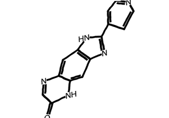 O=c1cnc2cc3[nH]c(-c4ccncc4)nc3cc2[nH]1